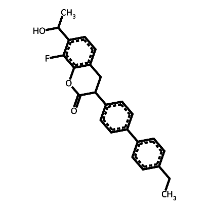 CCc1ccc(-c2ccc(C3Cc4ccc(C(C)O)c(F)c4OC3=O)cc2)cc1